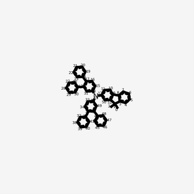 CC1(C)c2ccccc2-c2ccc(N(c3ccc(-c4ccccc4)c(-c4ccccc4)c3)c3ccc(-c4ccccc4)c(-c4ccccc4)c3)cc21